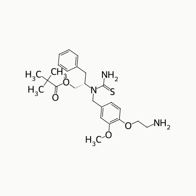 COc1cc(CN(C(N)=S)[C@H](COC(=O)C(C)(C)C)Cc2ccccc2)ccc1OCCN